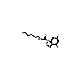 CCCCCCNC(=O)n1nnc2c(F)cc(F)cc21